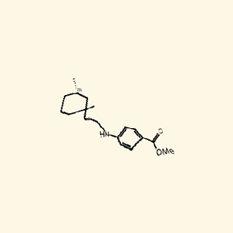 COC(=O)c1ccc(NCCC2(C)CCC[C@H](C)C2)cc1